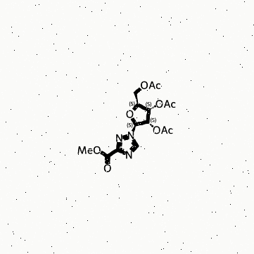 COC(=O)c1ncn([C@H]2O[C@@H](COC(C)=O)[C@H](OC(C)=O)[C@@H]2OC(C)=O)n1